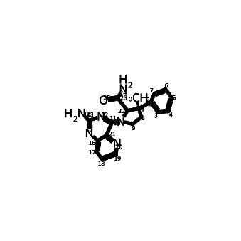 C[C@@]1(c2ccccc2)CCN(c2nc(N)nc3cccnc23)C1C(N)=O